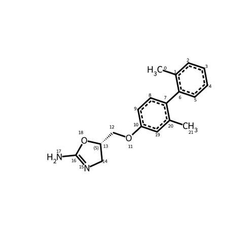 Cc1ccccc1-c1ccc(OC[C@@H]2CN=C(N)O2)cc1C